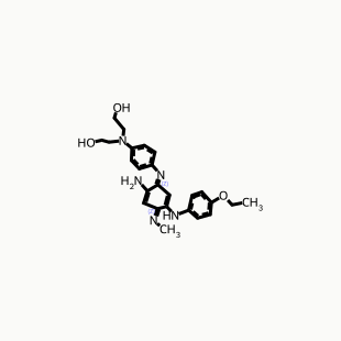 CCOc1ccc(NC2=CC(=N/c3ccc(N(CCO)CCO)cc3)/C(N)=CC/2=N/C)cc1